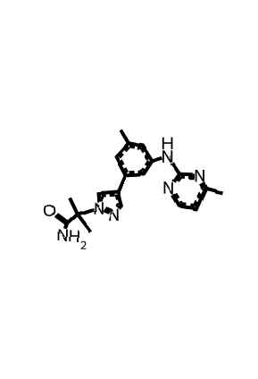 Cc1cc(Nc2nccc(C)n2)cc(-c2cnn(C(C)(C)C(N)=O)c2)c1